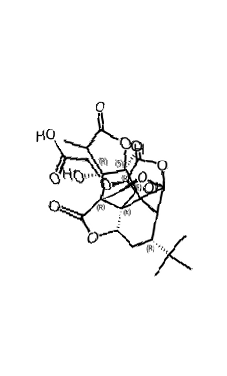 CC1C(=O)O[C@H]2[C@H](O)[C@@]34C5C[C@@H](C(C)(C)C)C6C7(OC(=O)[C@H](OCC(=O)O)C673)O[C@@]4(C(=O)O5)[C@@]12O